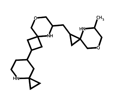 CC1COCC2(CC2CC2COCC3(CC(C4CCNC5(CC5)C4)C3)N2)N1